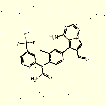 NC(=O)N(c1cc(C(F)(F)F)ccn1)c1ccc(-c2c(C=O)cn3ncnc(N)c23)cc1F